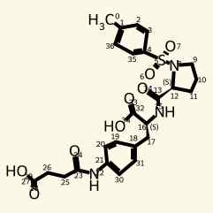 Cc1ccc(S(=O)(=O)N2CCC[C@H]2C(=O)N[C@@H](Cc2ccc(NC(=O)CCC(=O)O)cc2)C(=O)O)cc1